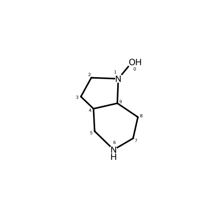 ON1CCC2CNCCC21